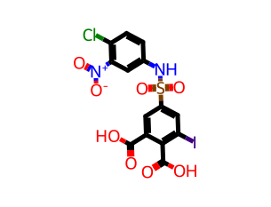 O=C(O)c1cc(S(=O)(=O)Nc2ccc(Cl)c([N+](=O)[O-])c2)cc(I)c1C(=O)O